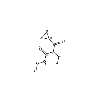 CCOC(=O)C(CC)C(=O)C1CC1